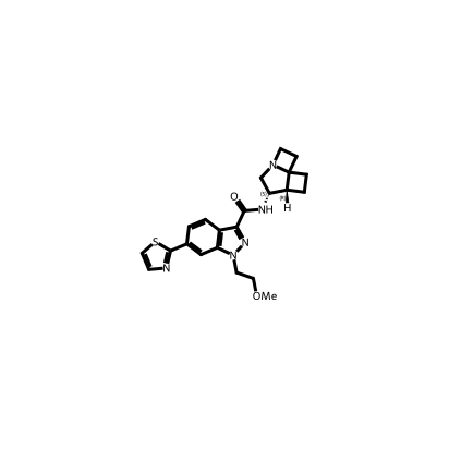 COCCn1nc(C(=O)N[C@@H]2CN3CCC34CC[C@H]24)c2ccc(-c3nccs3)cc21